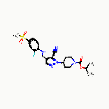 CC(C)OC(=O)N1CCC(n2ncc(CNc3ccc(S(C)(=O)=O)cc3F)c2C#N)CC1